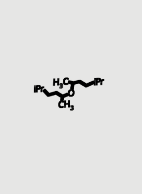 CC(C)CCC(C)OC(C)CCC(C)C